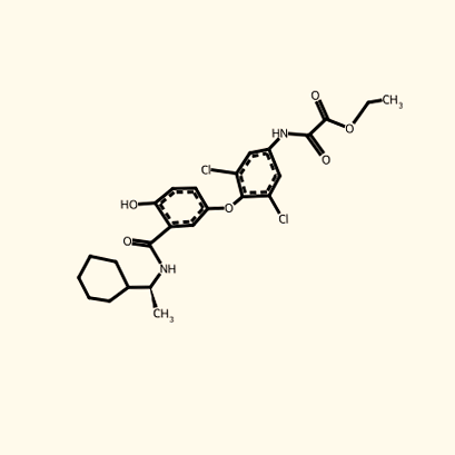 CCOC(=O)C(=O)Nc1cc(Cl)c(Oc2ccc(O)c(C(=O)N[C@@H](C)C3CCCCC3)c2)c(Cl)c1